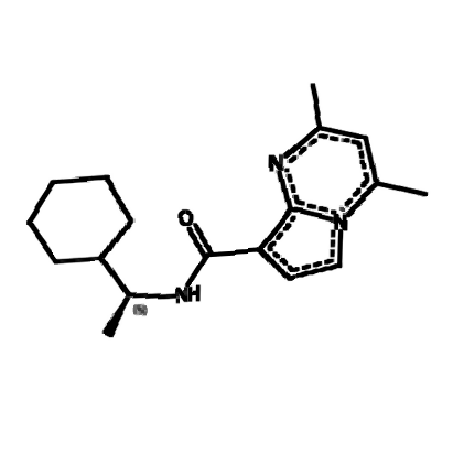 Cc1cc(C)n2ccc(C(=O)N[C@@H](C)C3CCCCC3)c2n1